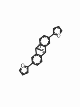 O=C1SC2c3cc(-c4ccco4)ccc3C1c1cc(-c3ccco3)ccc12